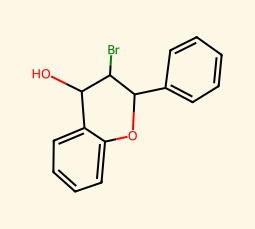 OC1c2ccccc2OC(c2ccccc2)C1Br